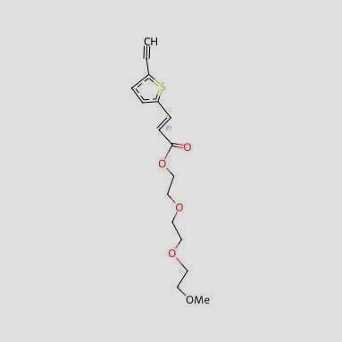 C#Cc1ccc(/C=C/C(=O)OCCOCCOCCOC)s1